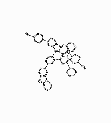 N#Cc1ccc(-c2ccc3c4ccc(-c5ccc(C#N)cc5)cc4n(-c4ccc(-c5ccc6oc7ccccc7c6c5)cc4-c4nc(-c5ccccc5)nc(-c5ccccc5)n4)c3c2)cc1